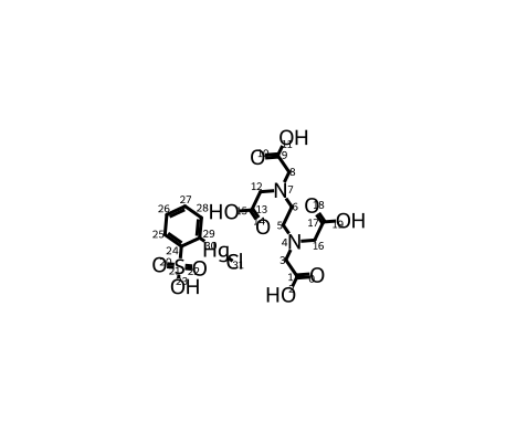 O=C(O)CN(CCN(CC(=O)O)CC(=O)O)CC(=O)O.O=S(=O)(O)c1cccc[c]1[Hg][Cl]